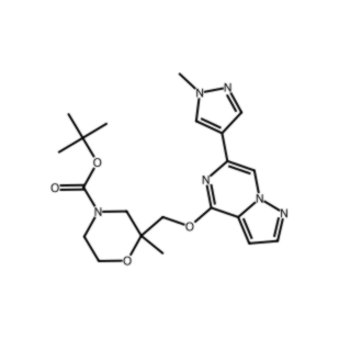 Cn1cc(-c2cn3nccc3c(OCC3(C)CN(C(=O)OC(C)(C)C)CCO3)n2)cn1